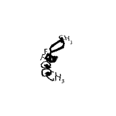 COCOC12CCC(C3CC=C(C)CC3)(CC1)C(F)=C2F